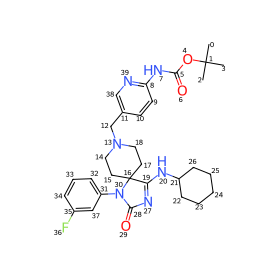 CC(C)(C)OC(=O)Nc1ccc(CN2CCC3(CC2)C(NC2CCCCC2)=NC(=O)N3c2cccc(F)c2)cn1